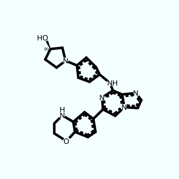 O[C@@H]1CCN(c2ccc(Nc3nc(-c4ccc5c(c4)NCCO5)cn4ccnc34)cc2)C1